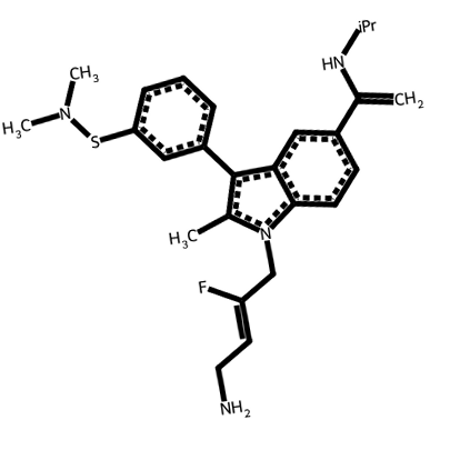 C=C(NC(C)C)c1ccc2c(c1)c(-c1cccc(SN(C)C)c1)c(C)n2C/C(F)=C/CN